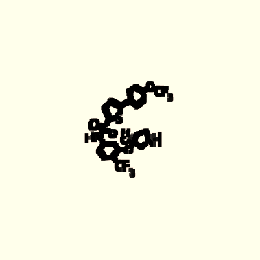 C[C@@]1(Oc2cc(NS(=O)(=O)c3ccc(-c4ccc(OC(F)(F)F)cc4)s3)ccc2C(F)(F)F)CCNC1